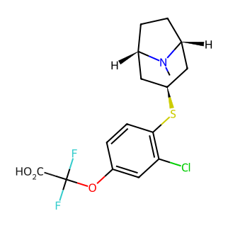 CN1[C@@H]2CC[C@H]1C[C@H](Sc1ccc(OC(F)(F)C(=O)O)cc1Cl)C2